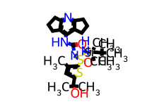 Cc1cc(C(C)(C)O)sc1S(=O)(=NC(=O)Nc1c2c(nc3c1CCC3)CCC2)N[Si](C)(C)C(C)(C)C